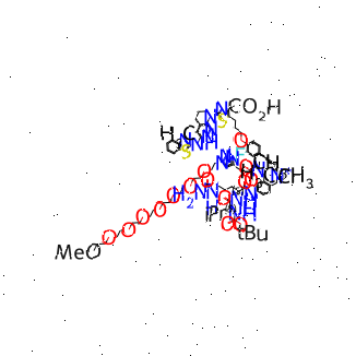 COCCOCCOCCOCCOCCOCCOCCOCCn1cc(COC(=O)N(C)Cc2cc(NC(=O)[C@H](CCCNC(N)=O)NC(=O)[C@@H](NC(=O)OC(C)(C)C)C(C)C)ccc2C[N+](C)(C)CC#Cc2ccc(OCCCc3sc(N4CCCc5c4nnc(Nc4nc6ccccc6s4)c5C)nc3C(=O)O)c(F)c2)nn1